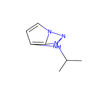 CC(C)n1c2c3ccn2n1N3